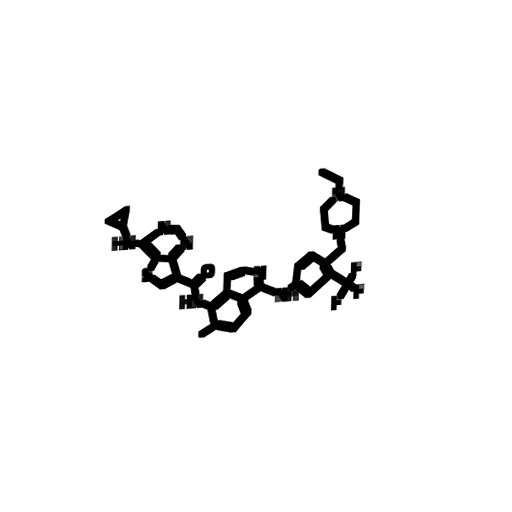 CCN1CCN(Cc2ccc(Nc3nccc4c(NC(=O)c5csc6c(NC7CC7)ncnc56)c(C)ccc34)cc2C(F)(F)F)CC1